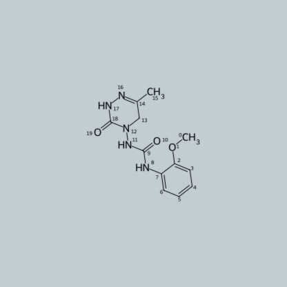 COc1ccccc1NC(=O)NN1CC(C)=NNC1=O